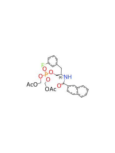 CC(=O)OCOP(=O)(OCOC(C)=O)OC[C@@H](Cc1cccc(F)c1)NC(=O)c1ccc2ccccc2c1